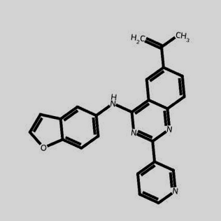 C=C(C)c1ccc2nc(-c3cccnc3)nc(Nc3ccc4occc4c3)c2c1